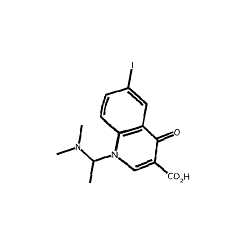 CC(N(C)C)n1cc(C(=O)O)c(=O)c2cc(I)ccc21